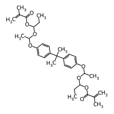 C=C(C)C(=O)OC(CC)OC(C)Oc1ccc(C(C)(C)c2ccc(OC(C)OC(CC)OC(=O)C(=C)C)cc2)cc1